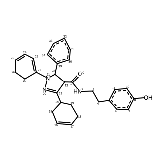 O=C(NCCc1ccc(O)cc1)C1C(C2CC=CCC2)=NN(C2=CC=CCC2)C1c1ccccc1